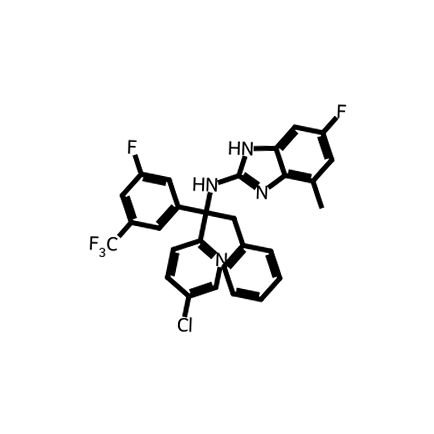 Cc1cc(F)cc2[nH]c(NC(Cc3ccccc3)(c3cc(F)cc(C(F)(F)F)c3)c3ccc(Cl)cn3)nc12